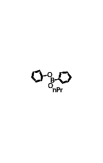 CCCOB(Oc1ccccc1)c1ccccc1